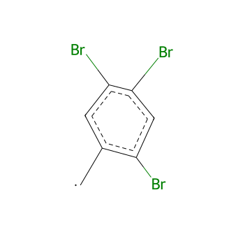 [CH2]c1cc(Br)c(Br)cc1Br